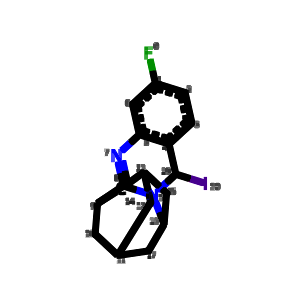 Fc1ccc2c(c1)N=C1C3CC4CC(C3)CC(C4)N1C2I